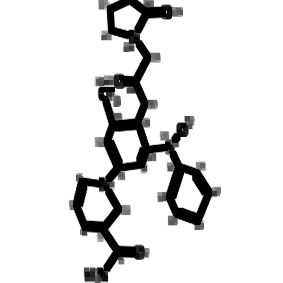 NC(=O)C1=CC=CN(c2cc([S+]([O-])c3ccccc3)c(CC(=O)CN3CCCC3=O)c(C(F)(F)F)c2)C1